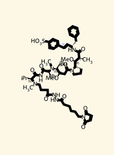 CC[C@H](C)[C@@H]([C@@H](CC(=O)N1CCC[C@H]1[C@H](OC)[C@@H](C)C(=O)N[C@H](/C=C/c1ccc(S(=O)(=O)O)cc1)Cc1ccccc1)OC)N(C)[C@H](C(=O)NC(=O)[C@H](C(C)C)N(C)CCCC(=O)NNC(=O)CCCCCN1C(=O)C=CC1=O)C(C)C